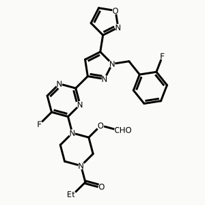 CCC(=O)N1CCN(c2nc(-c3cc(-c4ccon4)n(Cc4ccccc4F)n3)ncc2F)C(OC=O)C1